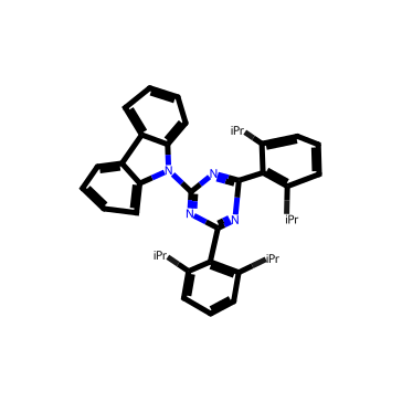 CC(C)c1cccc(C(C)C)c1-c1nc(-c2c(C(C)C)cccc2C(C)C)nc(-n2c3ccccc3c3ccccc32)n1